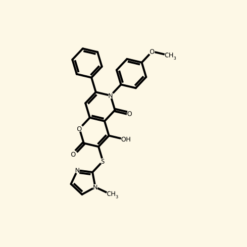 COc1ccc(-n2c(-c3ccccc3)cc3oc(=O)c(Sc4nccn4C)c(O)c3c2=O)cc1